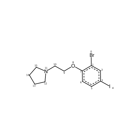 Brc1cc(I)ccc1OCCN1CCCC1